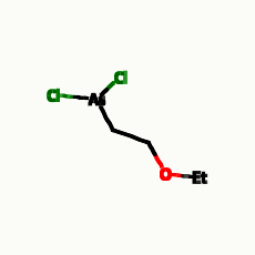 CCOCC[As](Cl)Cl